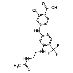 CC(=O)NCCNc1nc(Nc2ccc(C(=O)O)c(Cl)c2)ncc1C(F)(F)F